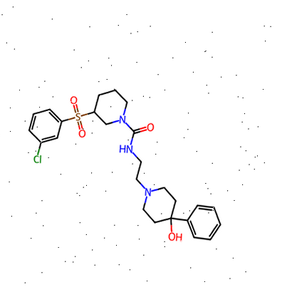 O=C(NCCN1CCC(O)(c2ccccc2)CC1)N1CCCC(S(=O)(=O)c2cccc(Cl)c2)C1